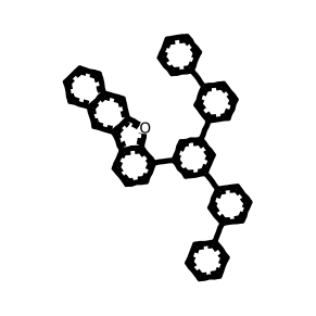 c1ccc(-c2cccc(-c3cc(-c4cccc(-c5ccccc5)c4)cc(-c4cccc5c4oc4cc6ccccc6cc45)c3)c2)cc1